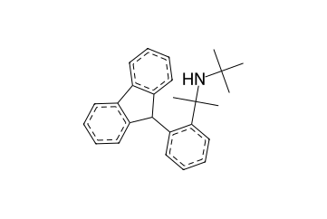 CC(C)(C)NC(C)(C)c1ccccc1C1c2ccccc2-c2ccccc21